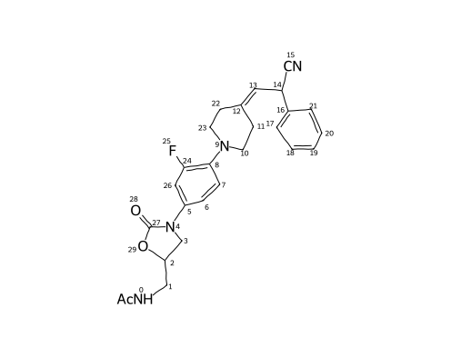 CC(=O)NCC1CN(c2ccc(N3CCC(=CC(C#N)c4ccccc4)CC3)c(F)c2)C(=O)O1